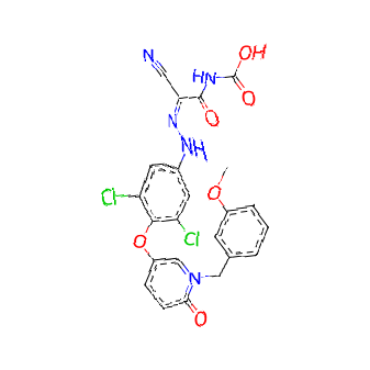 COc1cccc(Cn2cc(Oc3c(Cl)cc(NN=C(C#N)C(=O)NC(=O)O)cc3Cl)ccc2=O)c1